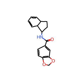 O=C(NC1CCC2C=CC=CC21)c1ccc2c(c1)OCO2